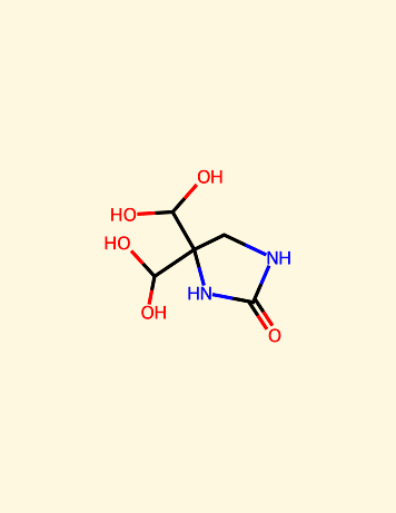 O=C1NCC(C(O)O)(C(O)O)N1